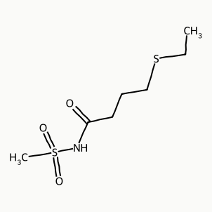 CCSCCCC(=O)NS(C)(=O)=O